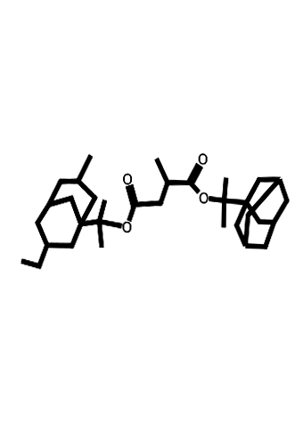 CCC1CC2CC(C)CC(C(C)(C)OC(=O)CC(C)C(=O)OC(C)(C)C34CC5CC(CC(C5)C3)C4)(C1)C2